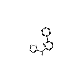 C1=C(Nc2cccc(-c3ccccc3)n2)OOC1